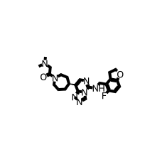 CN(C)CC(=O)N1CCC[C@H](c2cnc(NCc3c(F)ccc4c3CCO4)n3cnnc23)CC1